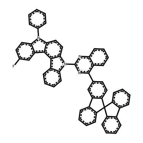 Fc1ccc2c(c1)c1c3c4ccccc4n(-c4nc(-c5ccc6c(c5)-c5ccccc5C65c6ccccc6-c6ccccc65)c5ccccc5n4)c3ccc1n2-c1ccccc1